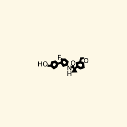 O=C(Nc1ccc(F)c(-c2ccc(CO)cc2)c1)C1(c2ccc3c(c2)CCO3)CC1